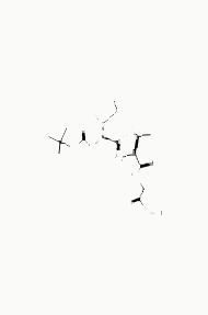 CC[C@H](C)[C@H](NC(=O)OC(C)(C)C)c1nc(C(=O)NCC(=O)O)c(C)o1